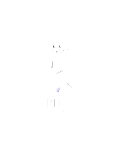 BC/C=C/C(=C)CC1=CC=C(CSC)CC1